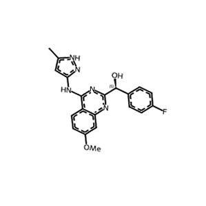 COc1ccc2c(Nc3cc(C)[nH]n3)nc([C@@H](O)c3ccc(F)cc3)nc2c1